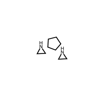 C1CCCC1.C1CN1.C1CN1